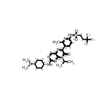 Cc1nc(NS(=O)(=O)CCC(F)(F)F)ccc1-c1nc2cnc(N[C@H]3CC[C@H](N(C)C)CC3)nc2n(C(C)C)c1=O